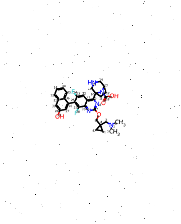 CN(C)CC1(COc2nc(C34CCC(CNC3)N4C(=O)O)c3cc(F)c(-c4cc(O)cc5ccccc45)c(F)c3n2)CC1